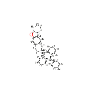 C1=Cc2c(oc3cc4ccc(-c5c6ccccc6c(-c6ccccc6)c6ccccc56)cc4cc23)CC1